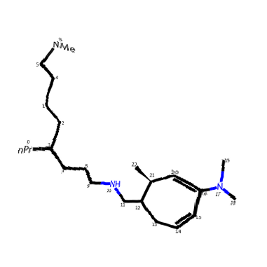 CCCC(CCCCNC)CCCNCC1CC=CC(N(C)C)=C[C@@H]1C